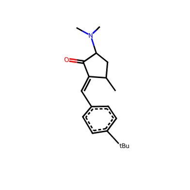 CC1CC(N(C)C)C(=O)C1=Cc1ccc(C(C)(C)C)cc1